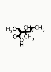 CC=C(C(=O)O)C(C)(C)CCC